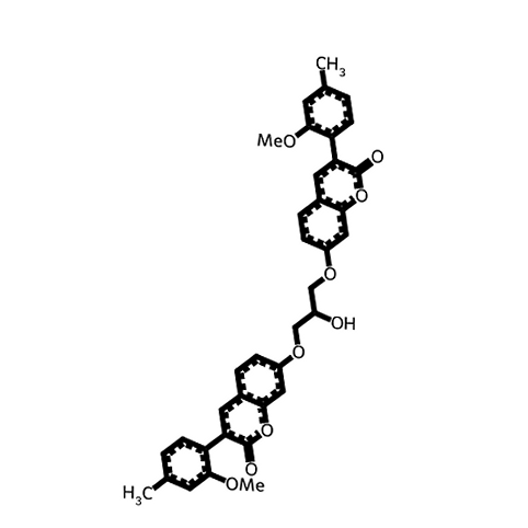 COc1cc(C)ccc1-c1cc2ccc(OCC(O)COc3ccc4cc(-c5ccc(C)cc5OC)c(=O)oc4c3)cc2oc1=O